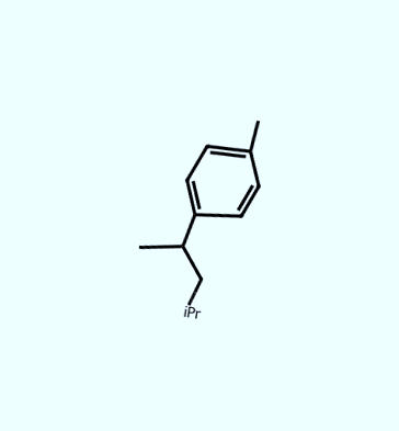 Cc1ccc(C(C)CC(C)C)cc1